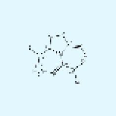 C/C=C1/CCC(C(C)C)N1/C(=C\N)C(C)C